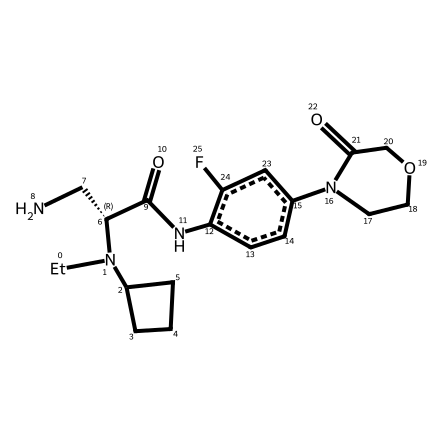 CCN(C1CCC1)[C@H](CN)C(=O)Nc1ccc(N2CCOCC2=O)cc1F